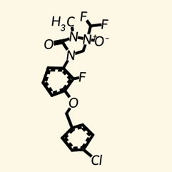 CN1C(=O)N(c2cccc(OCc3ccc(Cl)cc3)c2F)C[N+]1([O-])C(F)F